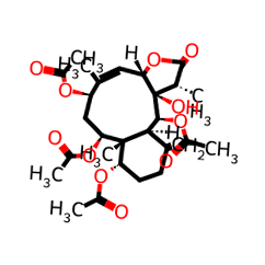 C=C1CC[C@H](OC(C)=O)[C@]2(C)[C@@H](OC(C)=O)C[C@@H](OC(C)=O)/C(C)=C\[C@@H]3OC(=O)[C@H](C)[C@]3(O)[C@@H](OC(C)=O)[C@@H]12